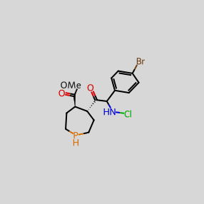 COC(=O)[C@@H]1CCPCC[C@H]1C(=O)C(NCl)c1ccc(Br)cc1